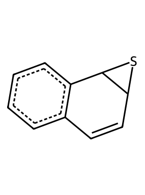 C1=CC2SC2c2ccccc21